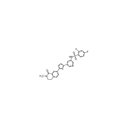 CN1CCc2ccc(-c3ccc(-c4cncc(NS(=O)(=O)c5ccc(F)cc5F)c4)s3)cc2C1=O